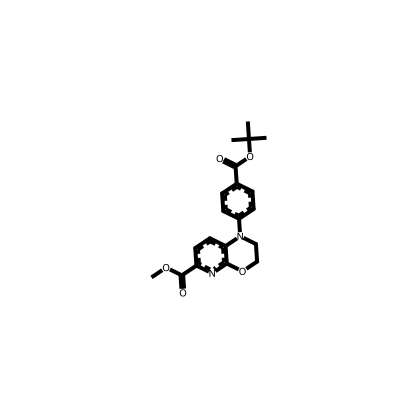 COC(=O)c1ccc2c(n1)OCCN2c1ccc(C(=O)OC(C)(C)C)cc1